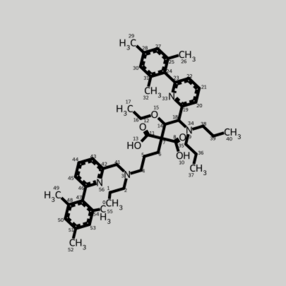 CCCN(CCCC(C(=O)O)(C(=O)O)C(OCC)C(c1cccc(-c2c(C)cc(C)cc2C)n1)N(CCC)CCC)Cc1cccc(-c2c(C)cc(C)cc2C)n1